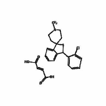 CN1CCC2(CC1)SC(c1ccccc1Cl)c1ccccc12.O=C(O)C=CC(=O)O